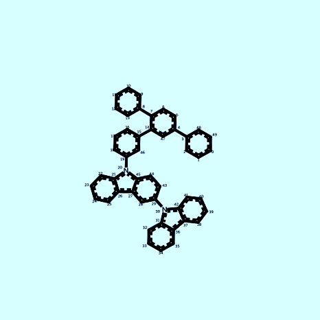 c1ccc(-c2ccc(-c3ccccc3)c(-c3cccc(-n4c5ccccc5c5cc(-n6c7ccccc7c7ccccc76)ccc54)c3)c2)cc1